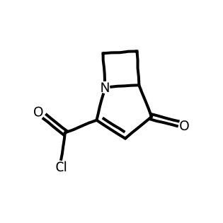 O=C(Cl)C1=CC(=O)C2CCN12